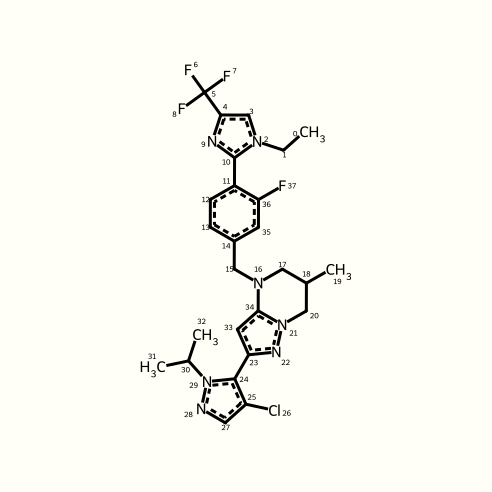 CCn1cc(C(F)(F)F)nc1-c1ccc(CN2CC(C)Cn3nc(-c4c(Cl)cnn4C(C)C)cc32)cc1F